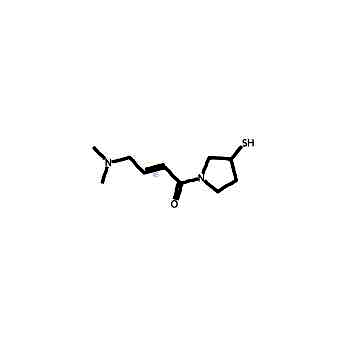 CN(C)C/C=C/C(=O)N1CCC(S)C1